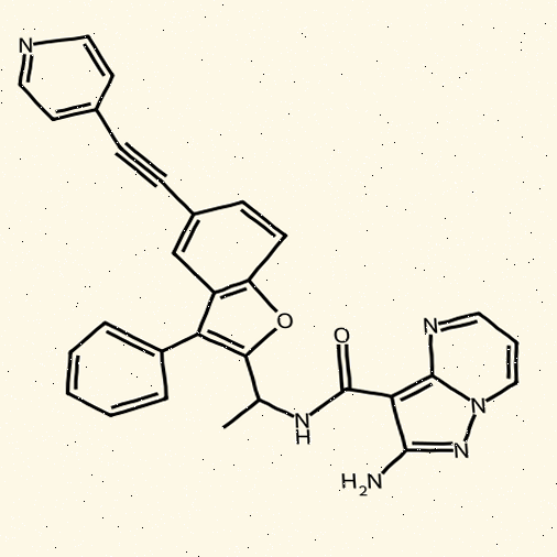 CC(NC(=O)c1c(N)nn2cccnc12)c1oc2ccc(C#Cc3ccncc3)cc2c1-c1ccccc1